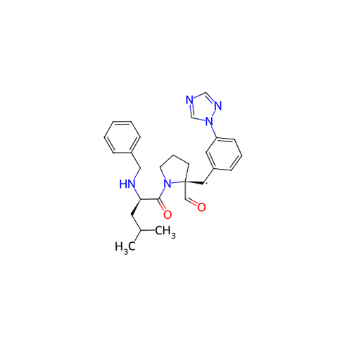 CC(C)C[C@@H](NCc1ccccc1)C(=O)N1CCC[C@]1([CH]c1cccc(-n2cncn2)c1)C=O